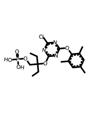 CCC(CC)(COP(=O)(O)O)Oc1nc(Cl)nc(Oc2c(C)cc(C)cc2C)n1